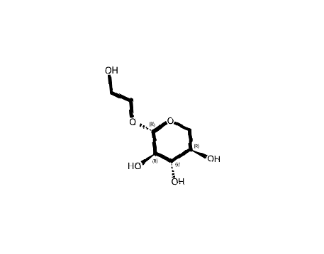 OCCO[C@@H]1OC[C@@H](O)[C@H](O)[C@H]1O